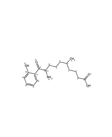 CC(CCCC(=O)O)CCCN(N)C(=O)c1ccccc1O